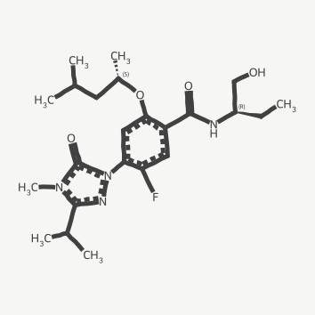 CC[C@H](CO)NC(=O)c1cc(F)c(-n2nc(C(C)C)n(C)c2=O)cc1O[C@@H](C)CC(C)C